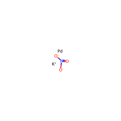 O=[N+]([O-])[O-].[K+].[Pd]